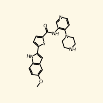 COc1ccc2[nH]c(-c3ccc(C(=O)Nc4cnccc4N4CCNCC4)s3)cc2c1